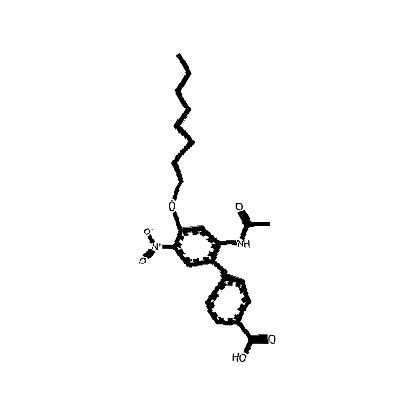 CCCCCCCCOc1cc(NC(C)=O)c(-c2ccc(C(=O)O)cc2)cc1[N+](=O)[O-]